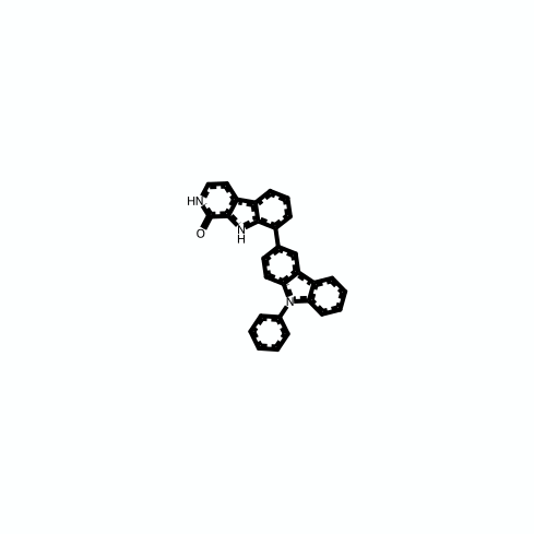 O=c1[nH]ccc2c1[nH]c1c(-c3ccc4c(c3)c3ccccc3n4-c3ccccc3)cccc12